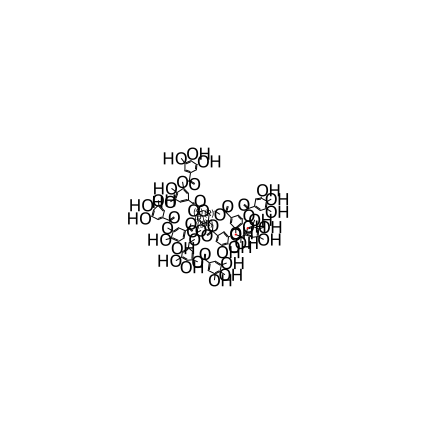 O=C(OC[C@H]1O[C@@H](OC(=O)c2cc(O)c(O)c(OC(=O)c3cc(O)c(O)c(O)c3)c2)[C@H](OC(=O)c2cc(O)c(O)c(OC(=O)c3cc(O)c(O)c(O)c3)c2)[C@@H](OCOCc2cc(O)c(O)c(OC(=O)c3cc(O)c(O)c(O)c3)c2)[C@@H]1OC(=O)c1cc(O)c(O)c(OC(O)c2cc(O)c(O)c(O)c2)c1)c1cc(O)c(O)c(OC(=O)c2cc(O)c(O)c(O)c2)c1